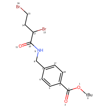 CC(C)(C)OC(=O)c1ccc(CNC(=O)C(Br)CCBr)cc1